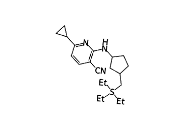 CCS(CC)(CC)CC1CCC(Nc2nc(C3CC3)ccc2C#N)C1